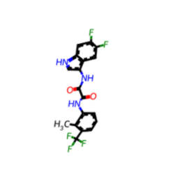 Cc1c(NC(=O)C(=O)Nc2c[nH]c3cc(F)c(F)cc23)cccc1C(F)(F)F